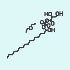 CCCCCCCCCCCCCCCC(O)OS(=O)(=O)OC(=O)C(O)CO.CCOCC